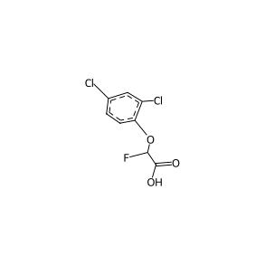 O=C(O)C(F)Oc1ccc(Cl)cc1Cl